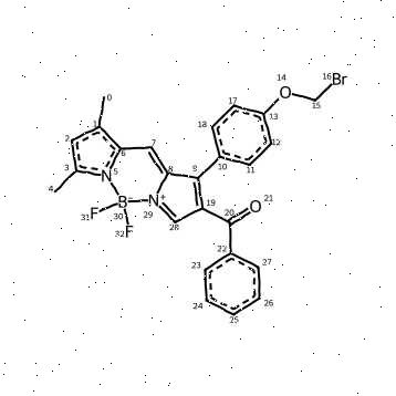 Cc1cc(C)n2c1C=C1C(c3ccc(OCBr)cc3)=C(C(=O)c3ccccc3)C=[N+]1[B-]2(F)F